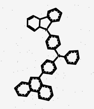 C1=CC2c3ccccc3N(c3ccc(N(c4ccccc4)c4ccc(-c5cc6ccccc6c6ccccc56)cc4)cc3)C2C=C1